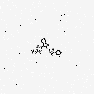 Cc1ccc(S(=O)(=O)OCCn2nc3ccccc3c2[C@@H](O)CN(C)C(=O)OC(C)(C)C)cc1